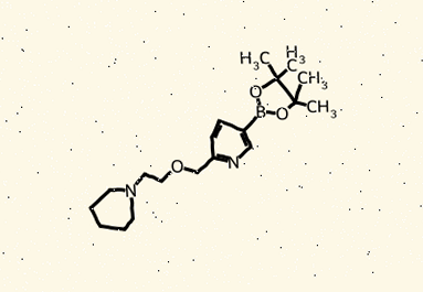 CC1(C)OB(c2ccc(COCCN3CCCCC3)nc2)OC1(C)C